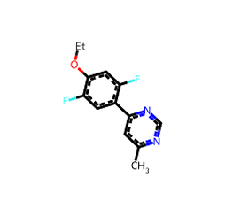 CCOc1cc(F)c(-c2cc(C)ncn2)cc1F